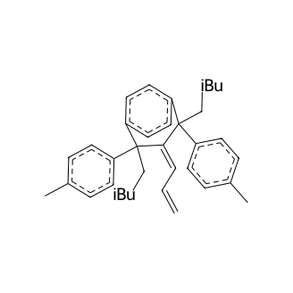 C=CC=C1C(CC(C)CC)(c2ccc(C)cc2)c2ccc(cc2)C1(CC(C)CC)c1ccc(C)cc1